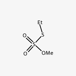 CCSS(=O)(=O)OC